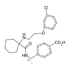 C[C@H](NC(=O)C1(NCCOc2cccc(Cl)c2)CCCCC1)c1ccc(C(=O)O)cc1